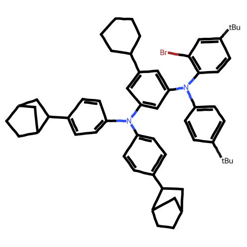 CC(C)(C)c1ccc(N(c2cc(C3CCCCC3)cc(N(c3ccc(C4CC5CCC4C5)cc3)c3ccc(C4CC5CCC4C5)cc3)c2)c2ccc(C(C)(C)C)cc2Br)cc1